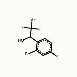 CC(=O)C(F)(F)C(O)c1ccc(F)cc1Br